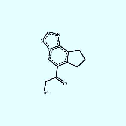 CC(C)CC(=O)c1cn2ncnc2c2c1CCC2